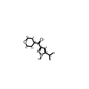 CC(C)c1cc(C(=O)C2CCOCC2)nn1C